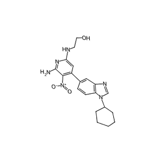 Nc1nc(NCCO)cc(-c2ccc3c(c2)ncn3C2CCCCC2)c1[N+](=O)[O-]